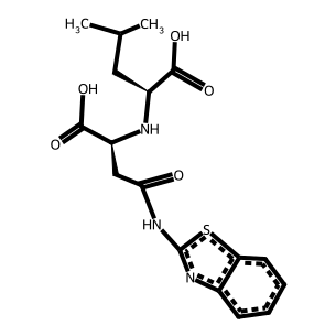 CC(C)C[C@H](N[C@@H](CC(=O)Nc1nc2ccccc2s1)C(=O)O)C(=O)O